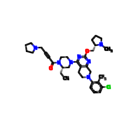 CN1CCC[C@H]1COc1nc2c(c(N3CCN(C(=O)C#CCN4CCCC4)[C@@H](CC#N)C3)n1)CCN(c1cccc(Cl)c1C(F)(F)F)C2